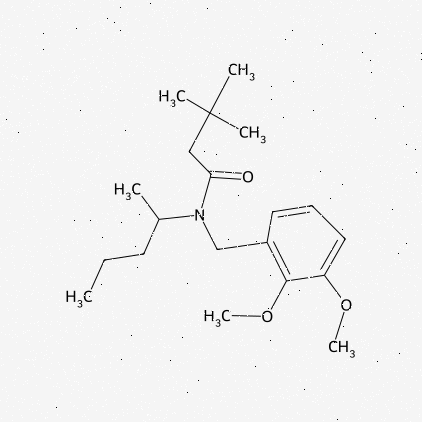 CCCC(C)N(Cc1cccc(OC)c1OC)C(=O)CC(C)(C)C